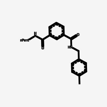 CCCCCNC(=O)c1cccc(C(=O)NCc2ccc(C)cc2)c1